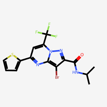 CC(C)NC(=O)c1nn2c(C(F)(F)F)cc(-c3cccs3)nc2c1Br